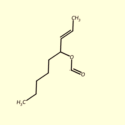 C/C=C/C(CCCCC)O[C]=O